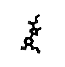 CCOC(=O)c1sc(-c2ccc(O)c(OC=O)c2)nc1C